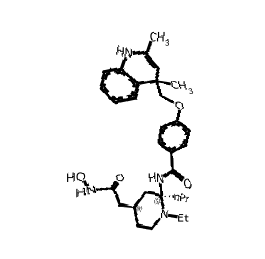 CCC[C@@]1(NC(=O)c2ccc(OCC3(C)C=C(C)Nc4ccccc43)cc2)C[C@H](CC(=O)NO)CCN1CC